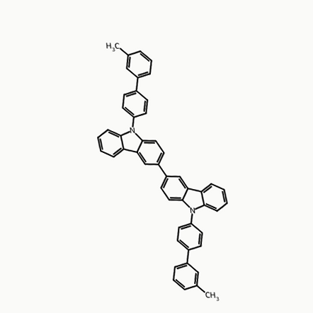 Cc1cccc(-c2ccc(-n3c4ccccc4c4cc(-c5ccc6c(c5)c5ccccc5n6-c5ccc(-c6cccc(C)c6)cc5)ccc43)cc2)c1